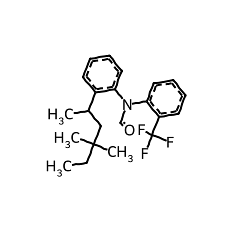 CCC(C)(C)CC(C)c1ccccc1N(C=O)c1ccccc1C(F)(F)F